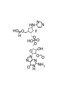 Nc1nc2c(ncn2[C@@H]2O[C@H](COP(=O)(O)OC[C@@H]3[C@@H](COPO)C[C@@H](Nc4ccncn4)[C@@H]3F)[C@@H](O)[C@H]2OC=O)c(=O)[nH]1